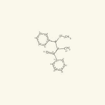 COC(c1ccccc1)C(C)C(=O)c1ccccc1